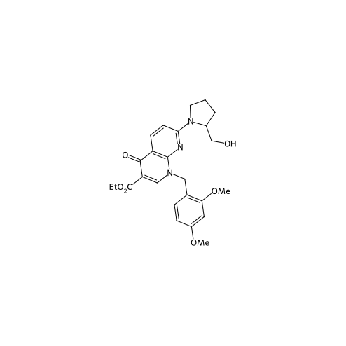 CCOC(=O)c1cn(Cc2ccc(OC)cc2OC)c2nc(N3CCCC3CO)ccc2c1=O